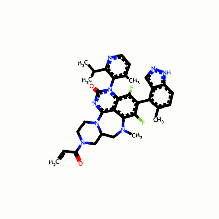 C=CC(=O)N1CCN2c3nc(=O)n(-c4c(C)ccnc4C(C)C)c4c(F)c(-c5c(C)ccc6[nH]ncc56)c(F)c(c34)N(C)CC2C1